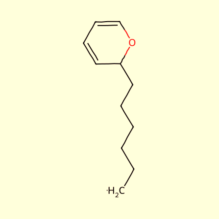 [CH2]CCCCCC1C=CC=CO1